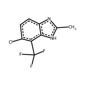 Cc1nc2ccc(Cl)c(C(F)(F)F)c2[nH]1